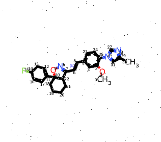 COc1cc(/C=C/C2=NOC3(C4=CCC(F)C=C4)CCCCC23)ccc1-n1cnc(C)c1